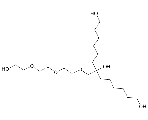 OCCCCCCC(O)(CCCCCCO)COCCOCCOCCO